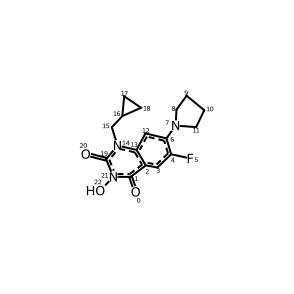 O=c1c2cc(F)c(N3CCCC3)cc2n(CC2CC2)c(=O)n1O